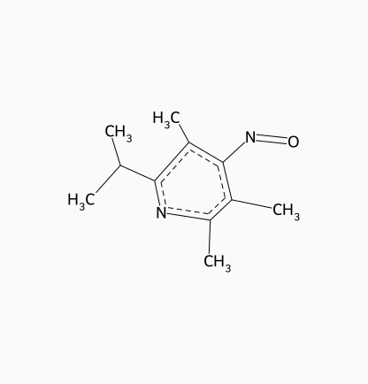 Cc1nc(C(C)C)c(C)c(N=O)c1C